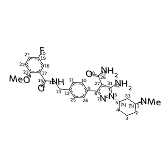 CN[C@H]1CCC[C@H](n2nc(-c3ccc(CNC(=O)c4cc(F)ccc4OC)cc3)c(C(N)=O)c2N)C1